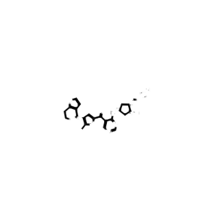 Cc1sc(C(=O)c2cncnc2N[C@@H]2C[C@H](COS(N)(=O)=O)[C@@H](O)C2)cc1[C@H]1OCCc2sccc21